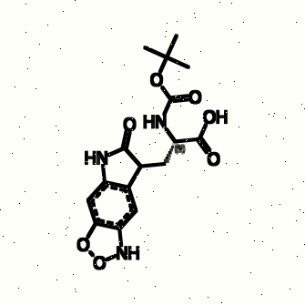 CC(C)(C)OC(=O)N[C@@H](CC1C(=O)Nc2cc3c(cc21)NOO3)C(=O)O